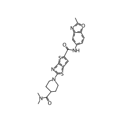 Cc1nc2cc(NC(=O)c3cc4sc(N5CCC(C(=O)N(C)C)CC5)nc4s3)ccc2o1